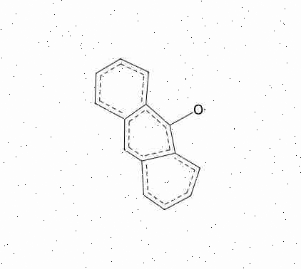 [O]c1c2ccccc2cc2ccccc12